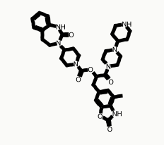 Cc1cc(CC(OC(=O)N2CCC(N3CCc4ccccc4NC3=O)CC2)C(=O)N2CCN(C3CCNCC3)CC2)cc2oc(=O)[nH]c12